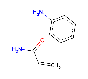 C=CC(N)=O.Nc1cc[c]cc1